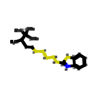 CO[Si](OC)(OC)C(C)CCSSSSSc1nc2ccccc2s1